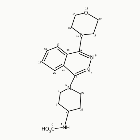 O=C(O)NC1CCN(c2nnc(N3CCOCC3)c3ccccc23)CC1